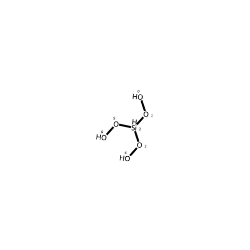 OO[SiH](OO)OO